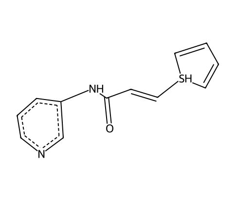 O=C(C=C[SH]1C=CC=C1)Nc1cccnc1